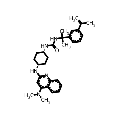 C=C(C)c1cccc(C(C)(C)NC(=O)N[C@H]2CC[C@@H](Nc3cc(N(C)C)c4ccccc4n3)CC2)c1